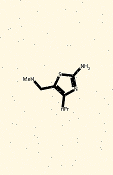 CCCc1nc(N)sc1CNC